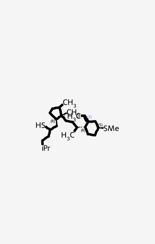 C/C=C1/C[C@@H](SC)CC[C@@H]1C(C)CC[C@@]1(C)C(C)CC[C@@H]1CC(S)CCC(C)C